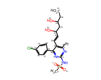 CC(C)c1nc(NS(C)(=O)=O)nc(-c2ccc(Cl)cc2)c1/C=C/C(O)CC(O)CC(=O)O